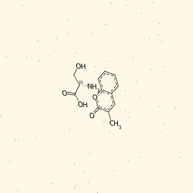 Cc1cc2ccccc2oc1=O.N[C@@H](CO)C(=O)O